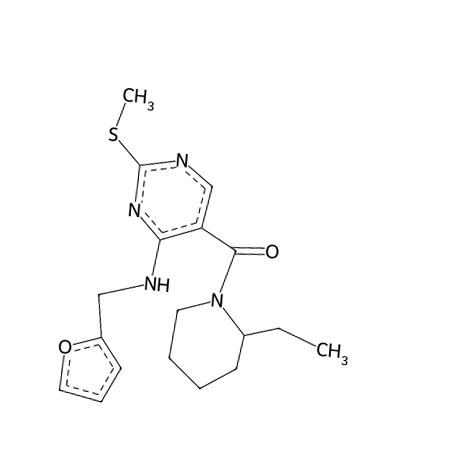 CCC1CCCCN1C(=O)c1cnc(SC)nc1NCc1ccco1